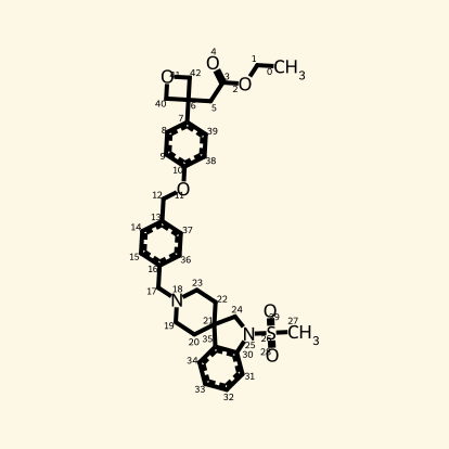 CCOC(=O)CC1(c2ccc(OCc3ccc(CN4CCC5(CC4)CN(S(C)(=O)=O)c4ccccc45)cc3)cc2)COC1